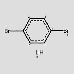 Brc1ccc(Br)cc1.[LiH]